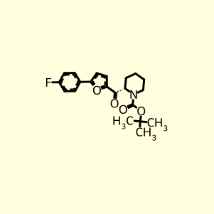 CC(C)(C)OC(=O)N1CCCC[C@H]1C(=O)c1ccc(-c2ccc(F)cc2)o1